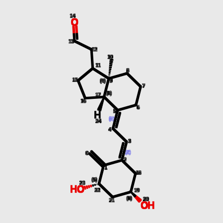 C=C1/C(=C\C=C2/CCC[C@]3(C)C(CC=O)CC[C@@H]23)C[C@@H](O)C[C@@H]1O